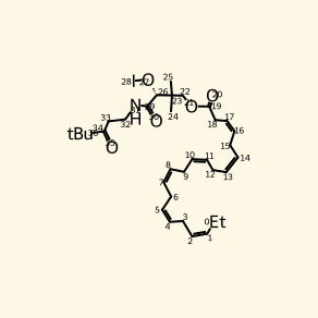 CC/C=C\C/C=C\C/C=C\C/C=C\C/C=C\C/C=C\CC(=O)OCC(C)(C)[C@@H](OI)C(=O)NCCC(=O)C(C)(C)C